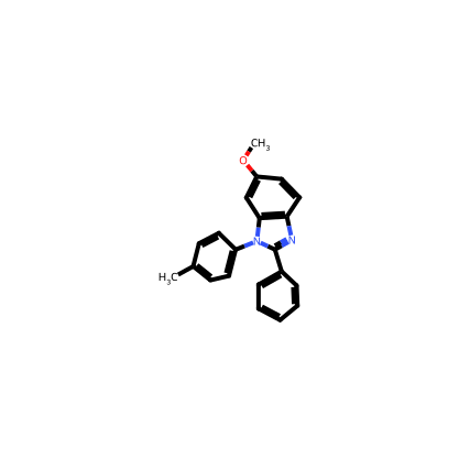 COc1ccc2nc(-c3ccccc3)n(-c3ccc(C)cc3)c2c1